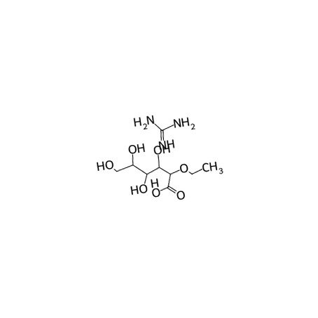 CCOC(C(=O)O)C(O)C(O)C(O)CO.N=C(N)N